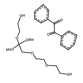 COC(COCCOCCO)(OC)OCCO.O=C(C(=O)c1ccccc1)c1ccccc1